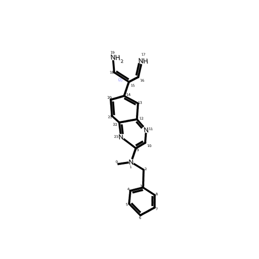 CN(Cc1ccccc1)c1cnc2cc(/C(C=N)=C/N)ccc2n1